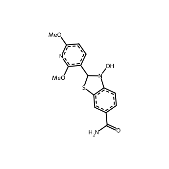 COc1ccc(C2Sc3cc(C(N)=O)ccc3N2O)c(OC)n1